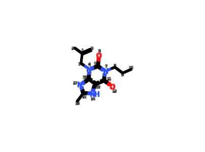 C=C(C)Cn1c(=O)n(CCC)c(=O)c2[nH]c(C)nc21